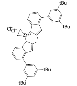 CC1=Cc2c(-c3cc(C(C)(C)C)cc(C(C)(C)C)c3)cccc2[CH]1[Zr+2]1([CH]2C(C)=Cc3c(-c4cc(C(C)(C)C)cc(C(C)(C)C)c4)cccc32)[CH2][CH2]1.[Cl-].[Cl-]